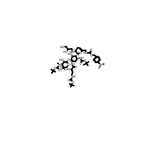 CN(C(=O)OC(C)(C)C)[C@@H]1[C@@H](O)[C@@H](O[C@H]2[C@H](NC(=O)[C@@H](O)CCNC(=O)OC(C)(C)C)C[C@H](NC(=O)OC(C)(C)C)C([C@H]3OC(CNC(=O)OCc4ccc([N+](=O)[O-])cc4)=CC[C@H]3NCC(O)CO)[C@@H]2O)OC[C@]1(C)O